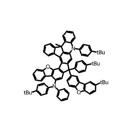 CC(C)(C)c1ccc(N2c3ccccc3C3(C)c4ccccc4-c4c5c(cc2c43)C(c2ccc(C(C)(C)C)cc2)(c2ccc3oc4ccc(C(C)(C)C)cc4c3c2)c2cc(N(c3ccccc3)c3ccc(C(C)(C)C)cc3)c3c(oc4ccccc43)c2-5)cc1